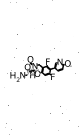 COc1ccc(-c2c(F)cc3c(c2F)CN2C(=O)O[C@@H](CN)[C@@H]2O3)cn1